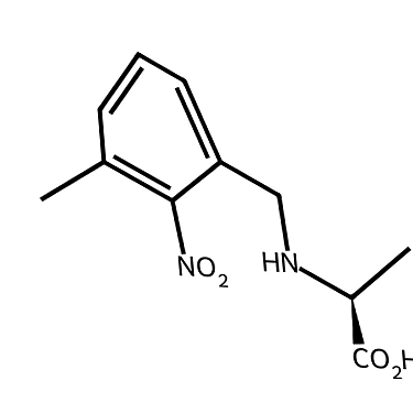 Cc1cccc(CN[C@@H](C)C(=O)O)c1[N+](=O)[O-]